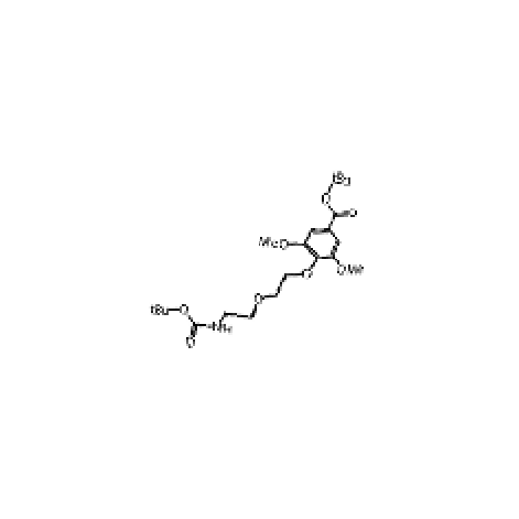 COc1cc(C(=O)OC(C)(C)C)cc(OC)c1OCCOCCNC(=O)OC(C)(C)C